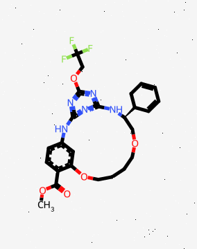 COC(=O)c1ccc2cc1OCCCCOC[C@H](C1C=CC=CC1)Nc1nc(nc(OCC(F)(F)F)n1)N2